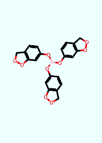 c1cc2c(cc1OB(Oc1ccc3c(c1)OOC3)Oc1ccc3c(c1)OOC3)OOC2